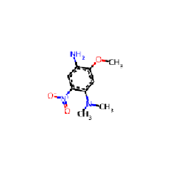 COc1cc(N(C)C)c([N+](=O)[O-])cc1N